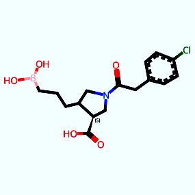 O=C(O)[C@@H]1CN(C(=O)Cc2ccc(Cl)cc2)CC1CCCB(O)O